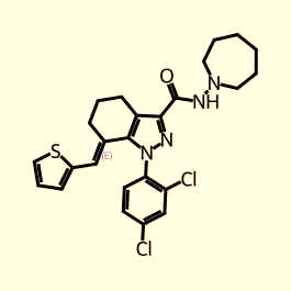 O=C(NN1CCCCCC1)c1nn(-c2ccc(Cl)cc2Cl)c2c1CCC/C2=C\c1cccs1